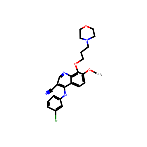 COc1ccc2c(Nc3cccc(Br)c3)c(C#N)cnc2c1OCCCN1CCOCC1